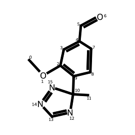 COc1cc(C=O)ccc1C1(C)N=CN=N1